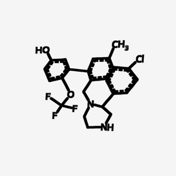 Cc1ccc(CN2CCNCC2c2ccc(Cl)cc2)c(-c2cc(O)ccc2OC(F)(F)F)c1